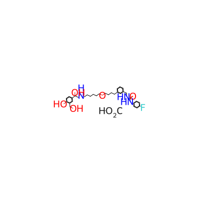 CC(=O)O.O=C(NCc1cccc(CCCCOCCCCCCNC[C@H](O)c2ccc(O)c(CO)c2)c1)Nc1ccc(F)cc1